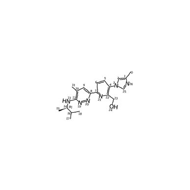 Cc1cn(-c2ccc(-c3cc(C)c(N[C@H](C)C(C)C)nn3)nc2CO)cn1